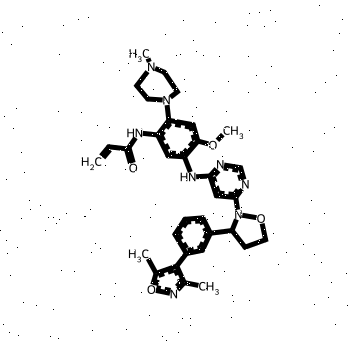 C=CC(=O)Nc1cc(Nc2cc(N3OCCC3c3cccc(-c4c(C)noc4C)c3)ncn2)c(OC)cc1N1CCN(C)CC1